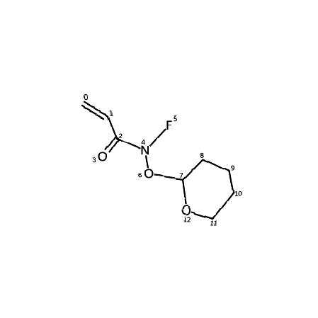 C=CC(=O)N(F)OC1CCCCO1